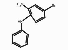 Nc1cc(Br)ccc1Nc1ccccc1